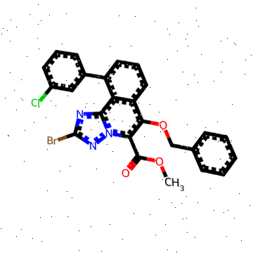 COC(=O)c1c(OCc2ccccc2)c2cccc(-c3cccc(Cl)c3)c2c2nc(Br)nn12